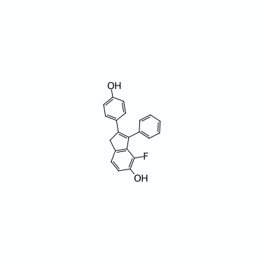 Oc1ccc(C2=C(c3ccccc3)c3c(ccc(O)c3F)C2)cc1